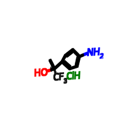 C[C@](O)(c1ccc(N)cc1)C(F)(F)F.Cl